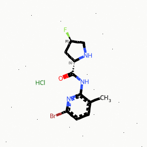 Cc1ccc(Br)nc1NC(=O)[C@@H]1C[C@@H](F)CN1.Cl